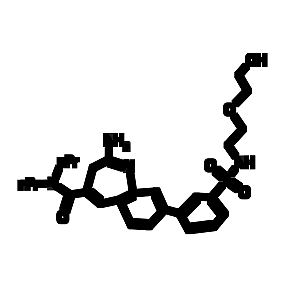 CCCN(CCC)C(=O)C1=Cc2ccc(-c3cccc(S(=O)(=O)NCCOCCO)c3)cc2N=C(N)C1